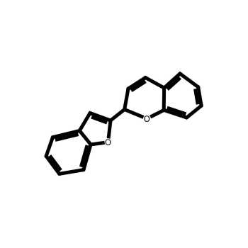 C1=CC(c2cc3ccccc3o2)Oc2ccccc21